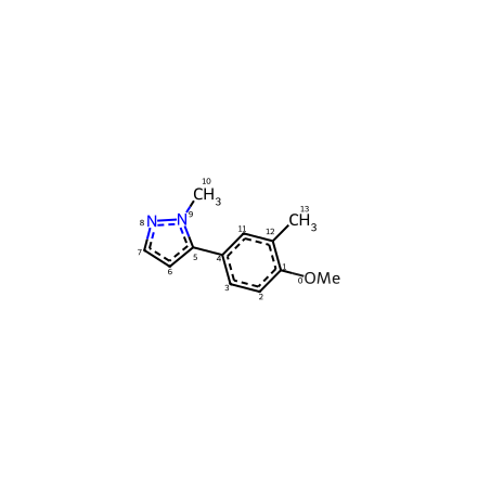 COc1ccc(-c2ccnn2C)cc1C